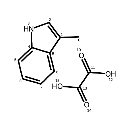 Cc1c[nH]c2ccccc12.O=C(O)C(=O)O